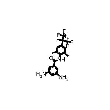 Cc1cc(C(F)(C(F)(F)F)C(F)(F)F)cc(C)c1NC(=O)c1cc(N)cc(N)c1